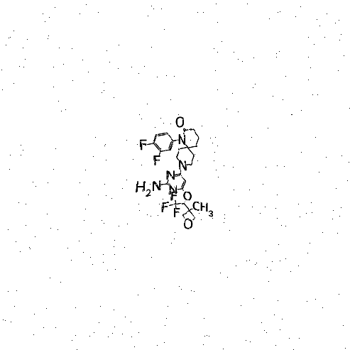 CC1(C(Oc2cc(N3CCC4(CCCC(=O)N4c4ccc(F)c(F)c4)CC3)nc(N)n2)C(F)(F)F)COC1